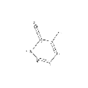 CC1=CC=[C][N]C1=O